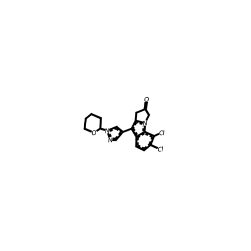 O=C1Cc2c(-c3cnn(C4CCCCO4)c3)c3ccc(Cl)c(Cl)c3n2C1